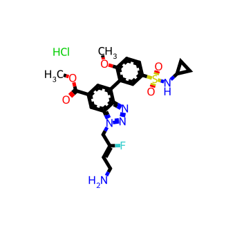 COC(=O)c1cc(-c2cc(S(=O)(=O)NC3CC3)ccc2OC)c2nnn(C/C(F)=C/CN)c2c1.Cl